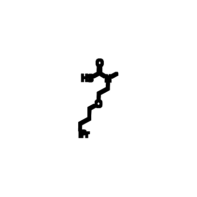 CC(C)CCCOCCN(C)C(=O)S